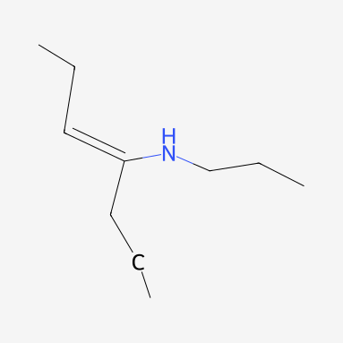 CCC=C(CCC)NCCC